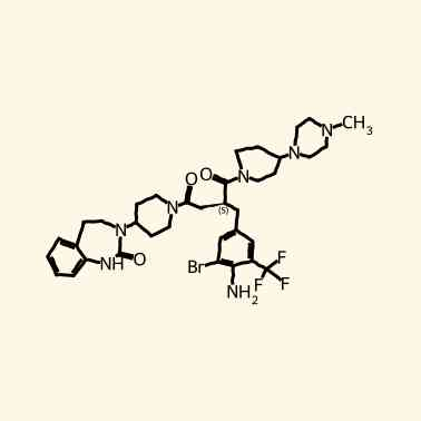 CN1CCN(C2CCN(C(=O)[C@H](CC(=O)N3CCC(N4CCc5ccccc5NC4=O)CC3)Cc3cc(Br)c(N)c(C(F)(F)F)c3)CC2)CC1